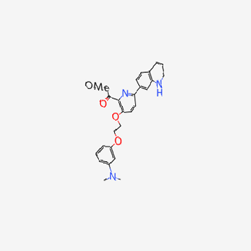 COC(=O)c1nc(-c2ccc3c(c2)NCCC3)ccc1OCCOc1cccc(N(C)C)c1